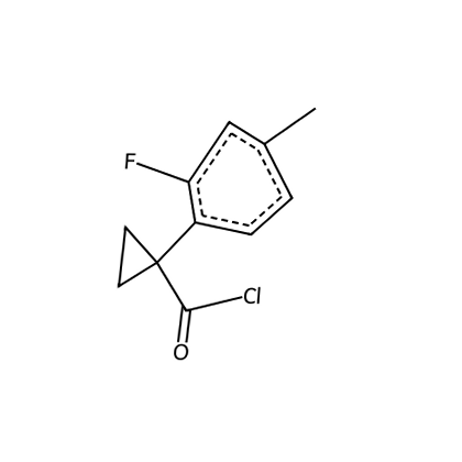 Cc1ccc(C2(C(=O)Cl)CC2)c(F)c1